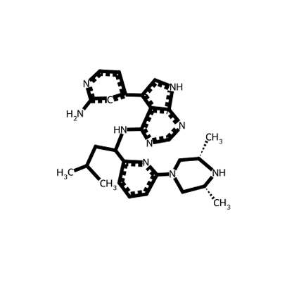 CC(C)CC(Nc1ncnc2[nH]cc(-c3ccnc(N)c3)c12)c1cccc(N2C[C@@H](C)N[C@@H](C)C2)n1